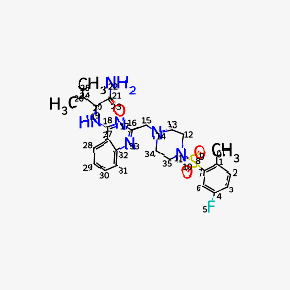 Cc1ccc(F)cc1S(=O)(=O)N1CCN(Cc2nc(N[C@H](C(N)=O)C(C)C)c3ccccc3n2)CC1